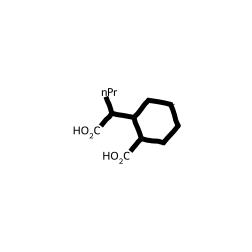 CCCC(C(=O)O)C1C[CH]CCC1C(=O)O